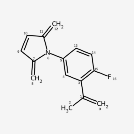 C=C(C)c1cc(-n2c(=C)ccc2=C)ccc1F